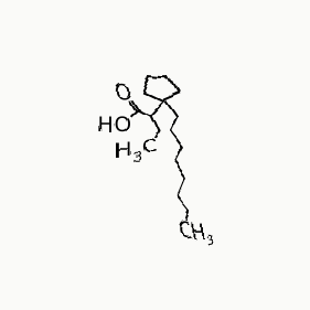 CCCCCCCCC1(C(CC)C(=O)O)CCCC1